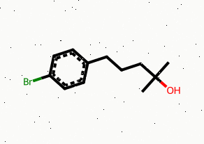 CC(C)(O)CCCc1ccc(Br)cc1